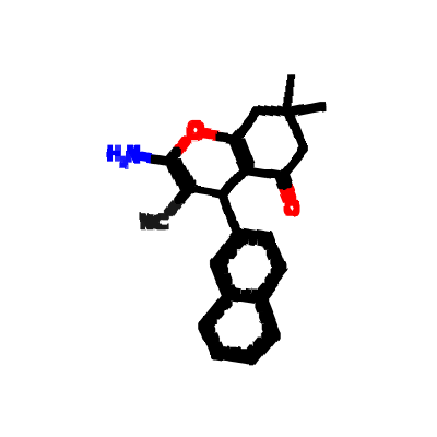 CC1(C)CC(=O)C2=C(C1)OC(N)=C(C#N)C2c1ccc2ccccc2c1